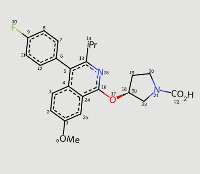 COc1ccc2c(-c3ccc(F)cc3)c(C(C)C)nc(O[C@H]3CCN(C(=O)O)C3)c2c1